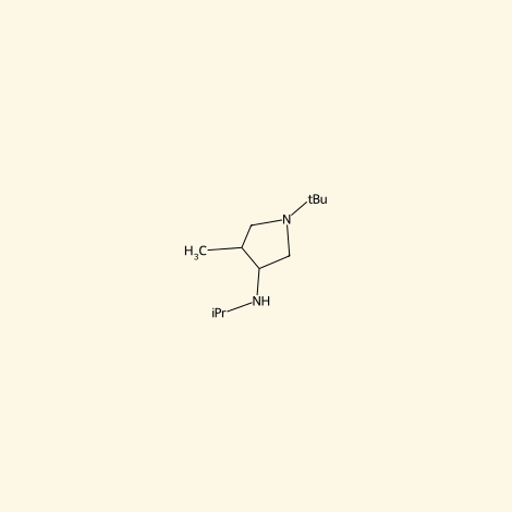 CC(C)NC1CN(C(C)(C)C)CC1C